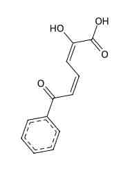 O=C(O)/C(O)=C\C=C/C(=O)c1ccccc1